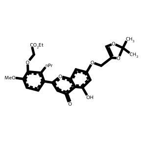 CCCc1c(-c2cc(=O)c3c(O)cc(OCC4=COC(C)(C)O4)cc3o2)ccc(OC)c1OCC(=O)OCC